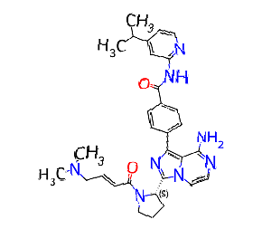 CC(C)c1ccnc(NC(=O)c2ccc(-c3nc([C@@H]4CCCN4C(=O)C=CCN(C)C)n4ccnc(N)c34)cc2)c1